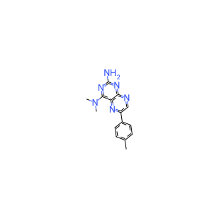 Cc1ccc(-c2cnc3nc(N)nc(N(C)C)c3n2)cc1